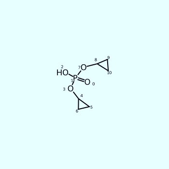 O=P(O)(OC1CC1)OC1CC1